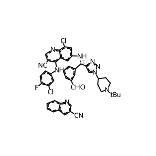 CC(C)(C)N1CCC(n2cc([C@@H](Nc3cc(Cl)c4ncc(C#N)c(Nc5ccc(F)c(Cl)c5)c4c3)c3cccc(C=O)c3)nn2)CC1.N#Cc1cnc2ccccc2c1